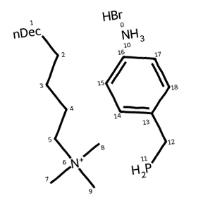 Br.CCCCCCCCCCCCCC[N+](C)(C)C.N.PCc1ccccc1